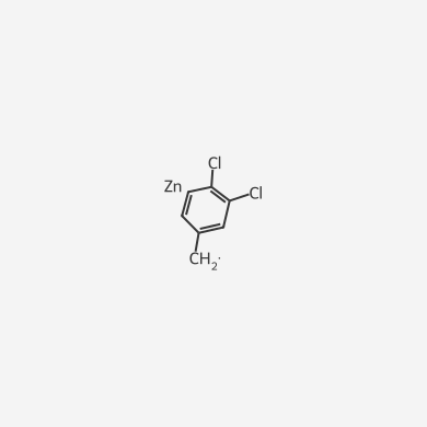 [CH2]c1ccc(Cl)c(Cl)c1.[Zn]